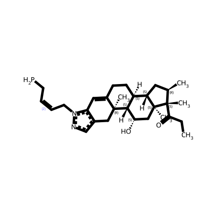 CCC(=O)[C@@]1(C)[C@H](C)C[C@H]2[C@@H]3CCC4=Cc5c(cnn5C/C=C\CP)C[C@]4(C)[C@H]3[C@@H](O)C[C@@]21C